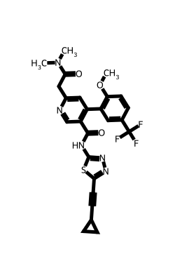 COc1ccc(C(F)(F)F)cc1-c1cc(CC(=O)N(C)C)ncc1C(=O)Nc1nnc(C#CC2CC2)s1